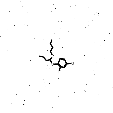 CCCCOC(CCC)Oc1ccc(Cl)cc1Cl